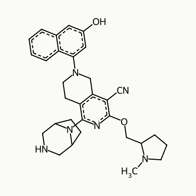 CN1CCCC1COc1nc(N2C3CCC2CNC3)c2c(c1C#N)CN(c1cc(O)cc3ccccc13)CC2